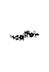 C=CC(=O)Nc1cccc(-c2n[nH]c3cnc(Nc4ccc(N5CCN(CCOC)CC5)c(F)c4F)nc23)c1